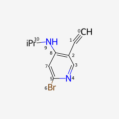 C#Cc1cnc(Br)cc1NC(C)C